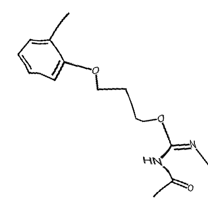 C/N=C(\NC(C)=O)OCCCOc1ccccc1C